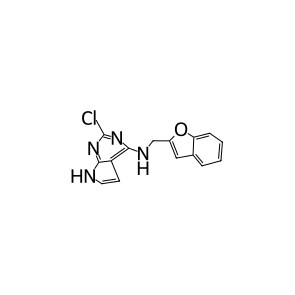 Clc1nc(NCc2cc3ccccc3o2)c2cc[nH]c2n1